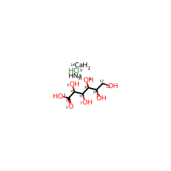 Cl.O=C(O)C(O)C(O)C(O)C(O)CO.[CaH2].[NaH]